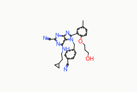 Cc1ccc(OCCCO)c(-c2nc3nc(C#N)nc(NCCC4CC4)c3n2Cc2ccc(C#N)cc2)c1